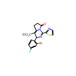 CCOC(=O)C1=C2CCC(=O)N2C(c2nccs2)=NC1c1ccc(F)cc1Br